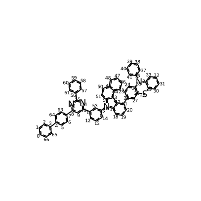 c1ccc(-c2ccc(-c3cc(-c4cccc(-n5c6cccc(-c7ccc8c(c7)Sc7ccccc7N8c7ccccc7)c6c6c7ccccc7ccc65)c4)nc(-c4ccccc4)n3)cc2)cc1